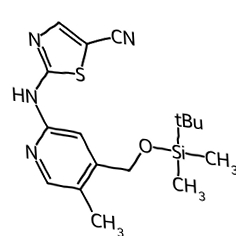 Cc1cnc(Nc2ncc(C#N)s2)cc1CO[Si](C)(C)C(C)(C)C